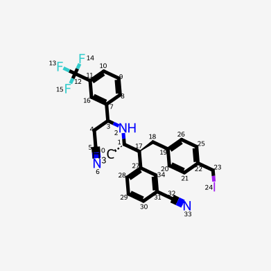 C[C@H](NC(CC#N)c1cccc(C(F)(F)F)c1)[C@@H](Cc1ccc(CI)cc1)c1cccc(C#N)c1